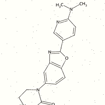 CN(C)c1ccc(-c2nc3cc(N4CCNCC4=O)ccc3o2)cn1